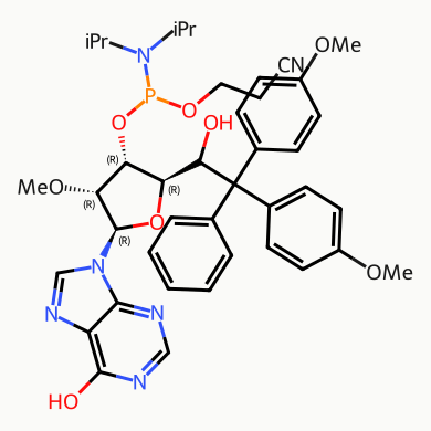 COc1ccc(C(c2ccccc2)(c2ccc(OC)cc2)C(O)[C@H]2O[C@@H](n3cnc4c(O)ncnc43)[C@H](OC)[C@@H]2OP(OCCC#N)N(C(C)C)C(C)C)cc1